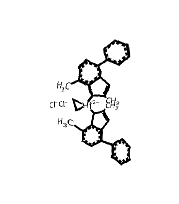 CC1=Cc2c(-c3ccccc3)ccc(C)c2[CH]1[Hf+2]1([CH]2C(C)=Cc3c(-c4ccccc4)ccc(C)c32)[CH2][CH2]1.[Cl-].[Cl-]